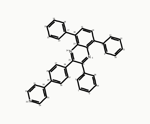 c1ccc(-c2nc3c(-c4ccccc4)ccc(-c4ccccc4)c3nc2-c2ccc(-c3ccncc3)cc2)cc1